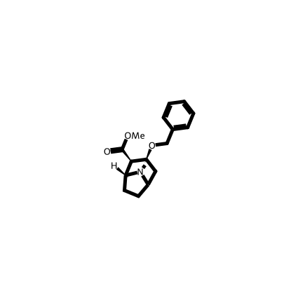 COC(=O)[C@H]1[C@@H](OCc2ccccc2)CC2CC[C@H]1N2C